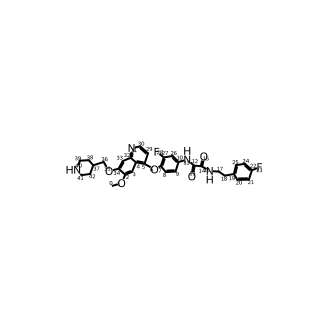 COc1cc2c(Oc3ccc(NC(=O)C(=O)NCCc4ccc(F)cc4)cc3F)ccnc2cc1OCC1CCNCC1